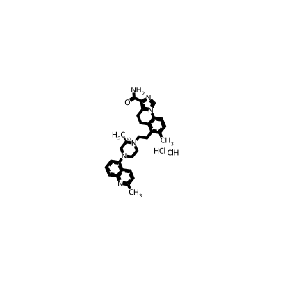 Cc1ccc2c(N3CCN(CCc4c(C)ccc5c4CCc4c(C(N)=O)ncn4-5)[C@H](C)C3)cccc2n1.Cl.Cl